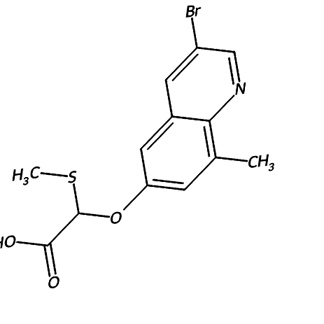 CSC(Oc1cc(C)c2ncc(Br)cc2c1)C(=O)O